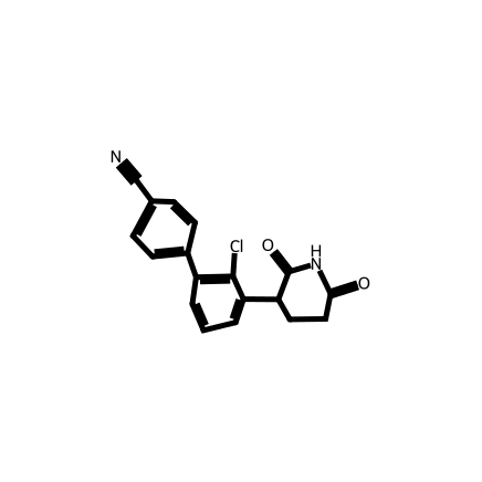 N#Cc1ccc(-c2cccc(C3CCC(=O)NC3=O)c2Cl)cc1